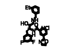 CCc1cccc(CNC[C@@H](O)[C@H](Cc2cc(F)cc(F)c2)NC(=O)c2cccc(-c3ncco3)c2)c1.Cl